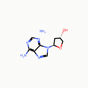 N.Nc1ncnc2c1ncn2[C@H]1C[C@H](O)CO1